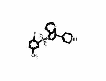 Cc1ccc(F)c(S(=O)(=O)n2cc(C3=CCNCC3)c3ncccc32)c1